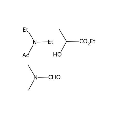 CCN(CC)C(C)=O.CCOC(=O)C(C)O.CN(C)C=O